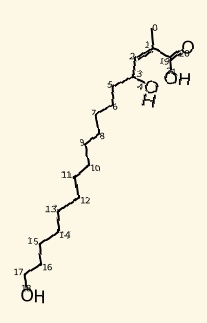 CC(=CC(O)CCCCCCCCCCCCCO)C(=O)O